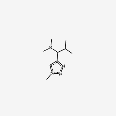 CC(C)C(c1cn(C)nn1)N(C)C